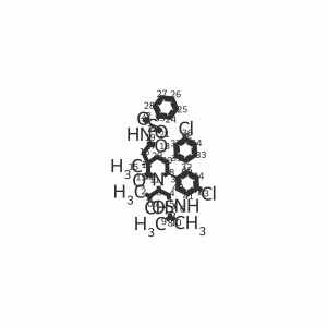 CC(C)C(CS(=N)(=O)C(C)C)N1C(=O)[C@@](C)(CC(=O)NS(=O)(=O)c2ccccc2)C[C@H](c2cccc(Cl)c2)[C@H]1c1ccc(Cl)cc1